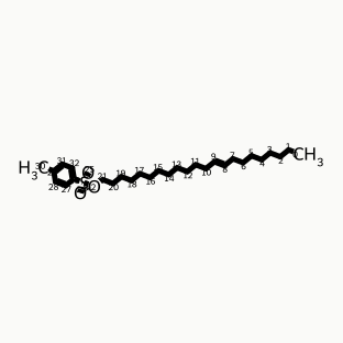 CCCCCCCCC=CCCCCCCCCCCCCOS(=O)(=O)c1ccc(C)cc1